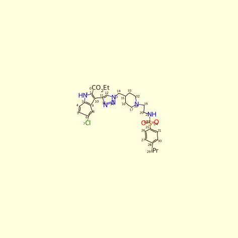 CCOC(=O)c1[nH]c2ccc(Cl)cc2c1-c1cn(CC2CCN(CCNS(=O)(=O)c3ccc(C(C)C)cc3)CC2)nn1